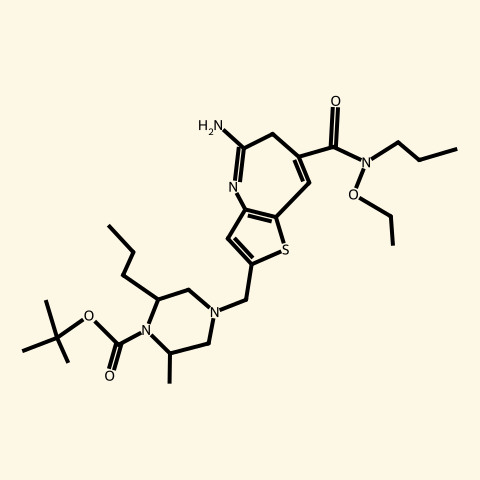 CCCC1CN(Cc2cc3c(s2)C=C(C(=O)N(CCC)OCC)CC(N)=N3)CC(C)N1C(=O)OC(C)(C)C